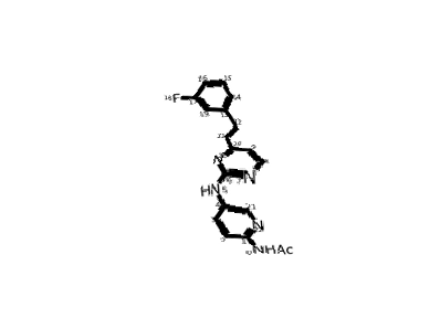 CC(=O)Nc1ccc(Nc2nccc(C=Cc3cccc(F)c3)n2)cn1